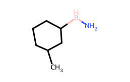 CC1CCCC(BN)C1